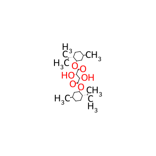 CC(C)[C@@H]1CC[C@@H](C)CC1OC(=O)[C@@H](O)[C@H](O)C(=O)O[C@H]1C[C@H](C)CC[C@H]1C(C)C